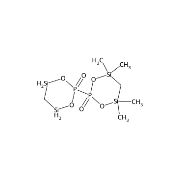 C[Si]1(C)C[Si](C)(C)OP(=O)(P2(=O)O[SiH2]C[SiH2]O2)O1